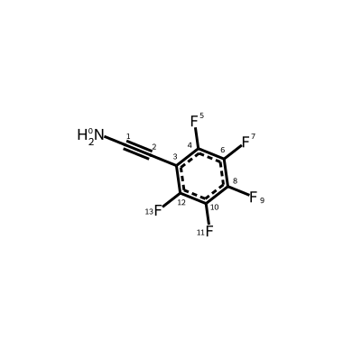 NC#Cc1c(F)c(F)c(F)c(F)c1F